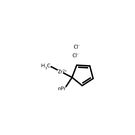 CCC[C]1([Zr+2][CH3])C=CC=C1.[Cl-].[Cl-]